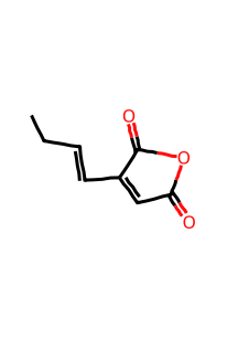 CC/C=C/C1=CC(=O)OC1=O